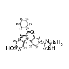 Nc1nc(-c2ccc(-c3c(C(=O)c4ccccc4)sc4cc(O)ccc34)cc2)c[nH]1